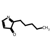 CCCCCC1=NC=CC1=O